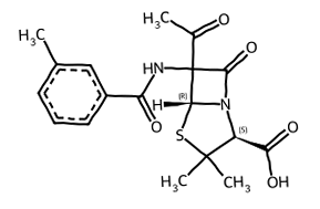 CC(=O)C1(NC(=O)c2cccc(C)c2)C(=O)N2[C@@H](C(=O)O)C(C)(C)S[C@@H]21